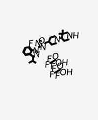 CC(C)c1nn(-c2noc(C3CCN(C4CCNCC4(C)C)CC3)n2)c2c(F)cccc12.O=C(O)C(F)(F)F.O=C(O)C(F)(F)F